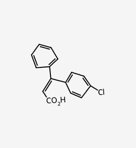 O=C(O)C=C(c1ccccc1)c1ccc(Cl)cc1